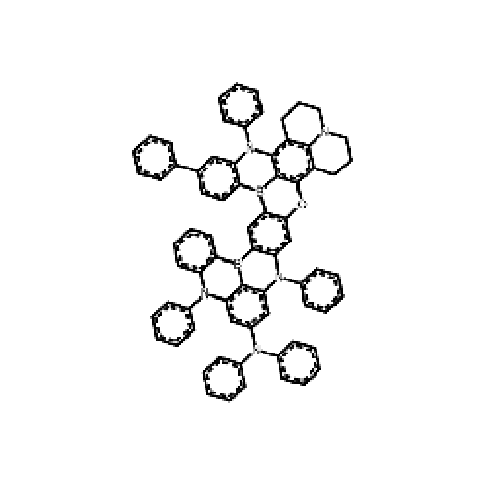 c1ccc(-c2ccc3c(c2)N(c2ccccc2)c2c4c5c(c6c2B3c2cc3c(cc2O6)N(c2ccccc2)c2cc(N(c6ccccc6)c6ccccc6)cc6c2B3c2ccccc2N6c2ccccc2)CCCN5CCC4)cc1